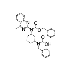 Cc1nc(N(C(=O)OCc2ccccc2)C2CCCC(N(Cc3ccccc3)C(=O)O)C2)nc2ccccc12